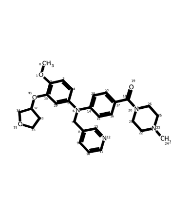 COc1ccc(N(Cc2cccnc2)c2ccc(C(=O)N3CCN(C)CC3)cc2)cc1OC1CCOC1